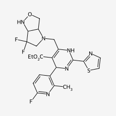 CCOC(=O)C1=C(CN2CC(F)(F)C3NOCC32)NC(c2nccs2)=NC1c1ccc(F)nc1C